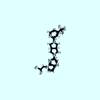 FC(F)Cn1ncc2ncc(N3CC4CN(c5cc(C(F)(F)F)ccn5)CC4C3)nc21